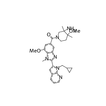 COc1cc(C(=O)N2CCC(C)(OC)C(C)(N)C2)cc2nc(-c3cc4cccnc4n3CC3CC3)n(C)c12